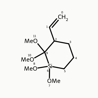 C=CC1CCC[Si](OC)(OC)C1(OC)OC